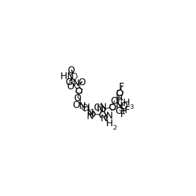 C[C@H](Oc1cc(-c2nn(C)c3c(-c4cnn(C5CCN(C(=O)COc6ccc7c(c6)C(=O)N(C6CCC(=O)NC6=O)C7=O)CC5)c4)cnc(N)c23)ccc1NS(=O)(=O)C(F)F)c1ccc(F)cc1